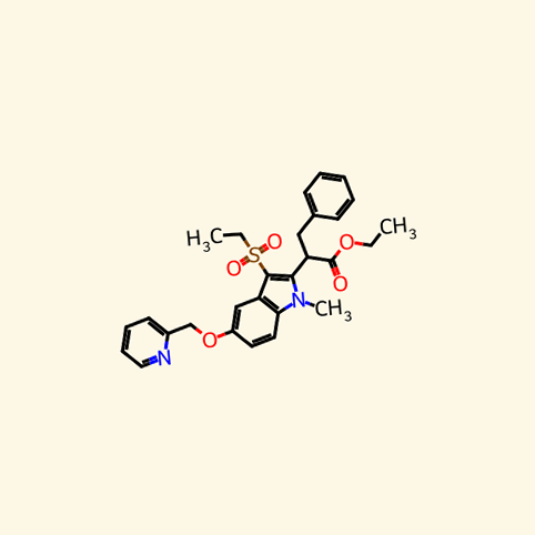 CCOC(=O)C(Cc1ccccc1)c1c(S(=O)(=O)CC)c2cc(OCc3ccccn3)ccc2n1C